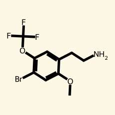 COc1cc(Br)c(OC(F)(F)F)cc1CCN